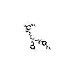 COc1ccc(OC(=O)OCOP(COCCn2cnc3c(=O)[nH]c(N)nc32)OCc2cccc(F)c2)cc1